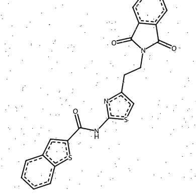 O=C(Nc1nc(CCN2C(=O)c3ccccc3C2=O)cs1)c1cc2ccccc2s1